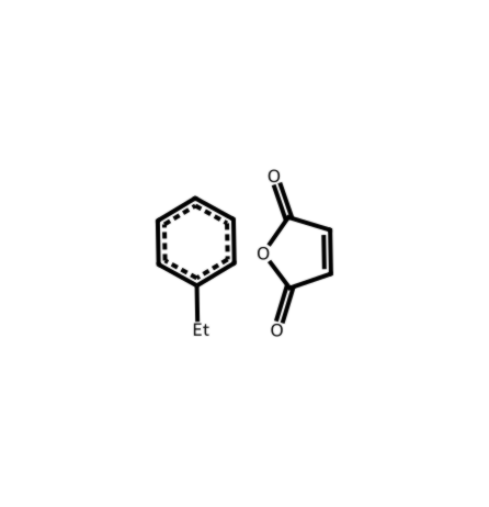 CCc1ccccc1.O=C1C=CC(=O)O1